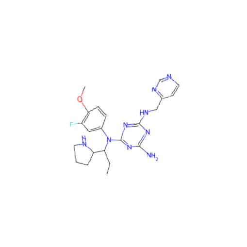 CCC(C1CCCN1)N(c1ccc(OC)c(F)c1)c1nc(N)nc(NCc2ccncn2)n1